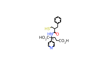 O=C(O)CC[C@](NC(=O)C(CS)Cc1ccccc1)(C(=O)O)c1ccncc1